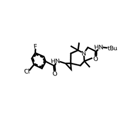 CC(C)(C)NC(=O)CN1C(C)(C)CC2(CC2NC(=O)c2cc(F)cc(Cl)c2)CC1(C)C